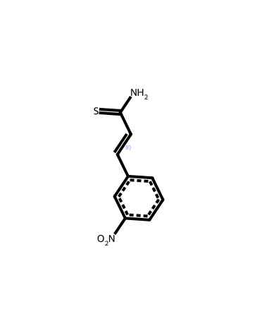 NC(=S)/C=C/c1cccc([N+](=O)[O-])c1